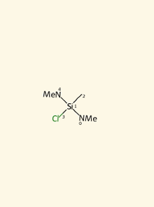 CN[Si](C)(Cl)NC